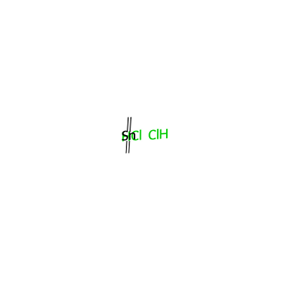 Cl.Cl.[CH2]=[Sn]=[CH2]